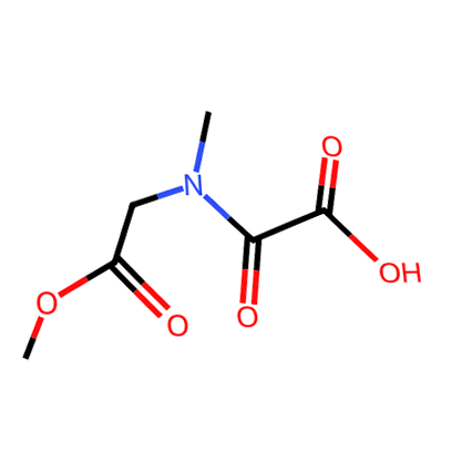 COC(=O)CN(C)C(=O)C(=O)O